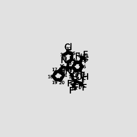 O=C(CC(O)(C(F)(F)F)C(F)(F)F)NC(Cc1ccccc1)(c1cc(F)cc(C(F)(F)F)c1)c1ccc(Cl)cn1